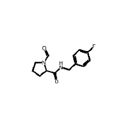 O=CN1CCCC1C(=O)NCc1ccc(F)cc1